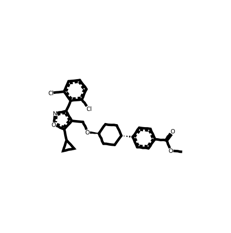 COC(=O)c1ccc([C@H]2CC[C@H](OCc3c(-c4c(Cl)cccc4Cl)noc3C3CC3)CC2)cc1